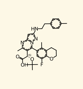 Cc1ccc(CCNc2cc3nc(C)c([C@H](OC(C)(C)C)C(=O)O)c(-c4cc(F)c5c(c4C)CCCO5)n3n2)cc1